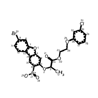 CC(Oc1cc2oc3cc(Br)ccc3c2cc1[N+](=O)[O-])C(=O)OCCOc1cccc(Cl)c1